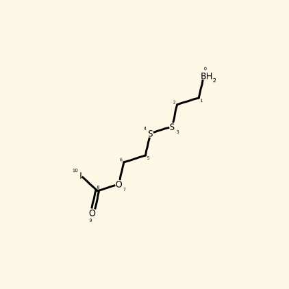 BCCSSCCOC(=O)I